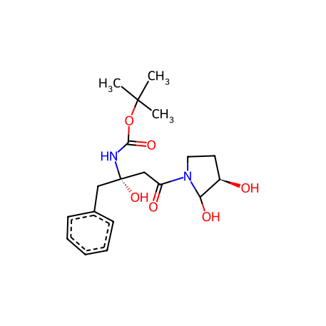 CC(C)(C)OC(=O)N[C@@](O)(CC(=O)N1CC[C@@H](O)C1O)Cc1ccccc1